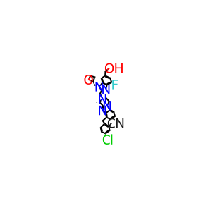 C[C@H]1c2nc3c(Cc4ccc(Cl)cc4C#N)cccc3n2CCN1Cc1nc2c(F)cc(CO)cc2n1C[C@@H]1CCO1